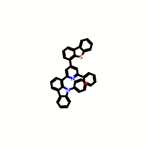 c1ccc(-c2cc(-c3cccc4c3sc3ccccc34)cc(-c3cccc4c5ccccc5n(-c5ccccc5)c34)n2)cc1